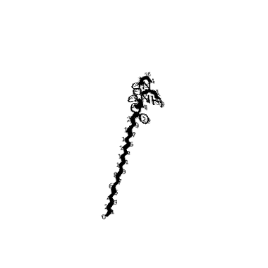 CCC=CCC=CCC=CCC=CCC=CCC=CCCC(=O)OCC(=O)NC(=O)C(CC)N1CCCC1=O